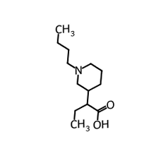 CCCCN1CCCC(C(CC)C(=O)O)C1